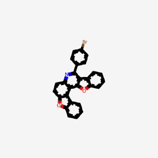 Brc1ccc(-c2nc3ccc4oc5ccccc5c4c3c3oc4ccccc4c23)cc1